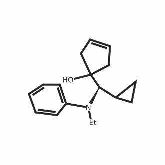 CCN(c1ccccc1)[C@H](C1CC1)C1(O)CC=CC1